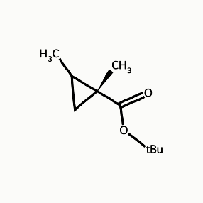 CC1C[C@@]1(C)C(=O)OC(C)(C)C